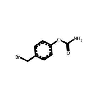 NC(=O)Oc1ccc(CBr)cc1